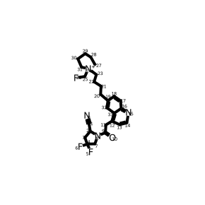 N#CC1CC(F)(F)CN1C(=O)Cc1ccnc2ccc(CCCC[N+]3(CF)CCCCC3)cc12